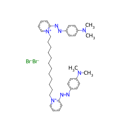 CN(C)c1ccc(/N=N/c2cccc[n+]2CCCCCCCCCCCC[n+]2ccccc2/N=N/c2ccc(N(C)C)cc2)cc1.[Br-].[Br-]